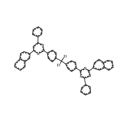 CCC(CC)(c1ccc(-c2nc(-c3ccccc3)cc(-c3ccc4ccccc4c3)n2)cc1)c1ccc(-c2nc(-c3ccccc3)cc(-c3ccc4ccccc4c3)n2)cc1